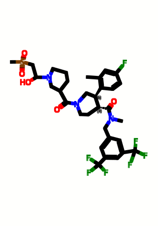 Cc1cc(F)ccc1[C@@H]1CN(C(=O)C2CCCN(C(O)CS(C)(=O)=O)C2)CC[C@H]1C(=O)N(C)Cc1cc(C(F)(F)F)cc(C(F)(F)F)c1